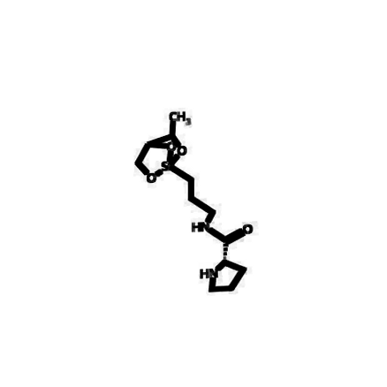 CC1O[Si]2(CCCNC(=O)[C@@H]3CCCN3)OCC1O2